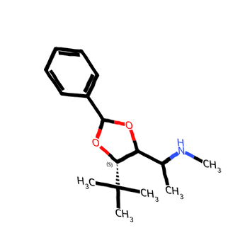 CNC(C)C1OC(c2ccccc2)O[C@H]1C(C)(C)C